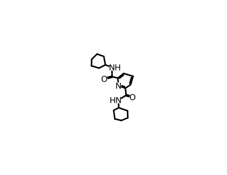 O=C(NC1CCCCC1)c1cccc(C(=O)NC2CCCCC2)n1